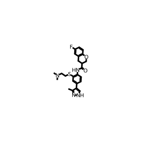 Cc1n[nH]cc1-c1ccc(NC(=O)C2COc3ccc(F)cc3C2)c(SCCN(C)C)c1